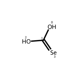 OC(O)=[Se]